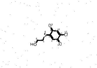 O=C1C=C(SCCO)C(=O)C=C1Cl